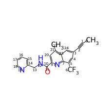 CC#Cc1cc(C(F)(F)F)c2nc(C(=O)NCc3ccccn3)cc(C)c2c1